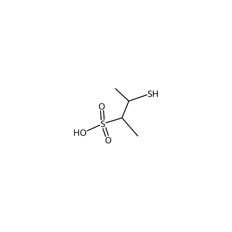 CC(S)C(C)S(=O)(=O)O